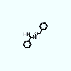 N=C(NOCc1ccccc1)c1ccccc1